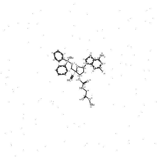 C#C[C@]1(CO[Si](c2ccccc2)(c2ccccc2)C(C)(C)C)O[C@@H](n2cnc3c(N)nc(F)nc32)C[C@@H]1OC(=O)NCC(=O)OC(C)(C)C